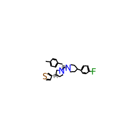 Cc1ccc(C[C@H](N2CCC(c3ccc(F)cc3)CC2)N2CC[C@H](c3ccsc3)C2)cc1